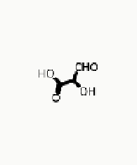 O=C[C](O)C(=O)O